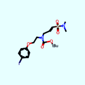 CN(C)S(=O)(=O)/C=C/CN(CCOc1ccc(I)cc1)C(=O)OC(C)(C)C